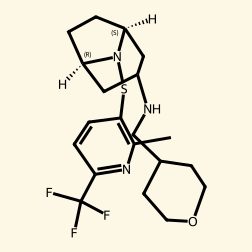 Cc1nc(C(F)(F)F)ccc1SN1[C@@H]2CC[C@H]1CC(NCC1CCOCC1)C2